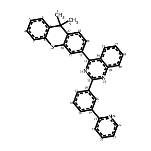 CC1(C)c2ccccc2Sc2cc(-c3nc(-c4cccc(-c5ccccn5)c4)nc4ccccc34)ccc21